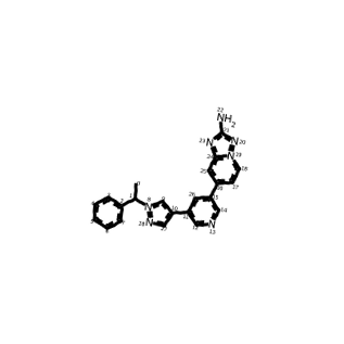 CC(c1ccccc1)n1cc(-c2cncc(-c3ccn4nc(N)nc4c3)c2)cn1